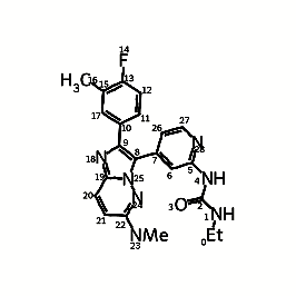 CCNC(=O)Nc1cc(-c2c(-c3ccc(F)c(C)c3)nc3ccc(NC)nn23)ccn1